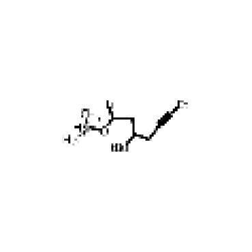 [Li][CH](CC(CC#CCC)C(C)(C)C)O[SiH](C)C